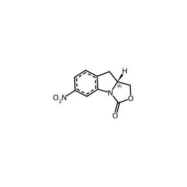 O=C1OC[C@H]2Cc3ccc([N+](=O)[O-])cc3N12